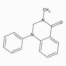 CN1CN(c2ccccc2)c2ccccc2C1=O